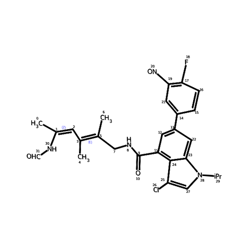 C/C(=C/C(C)=C(\C)CNC(=O)c1cc(-c2ccc(F)c(N=O)c2)cc2c1c(Cl)cn2C(C)C)NC=O